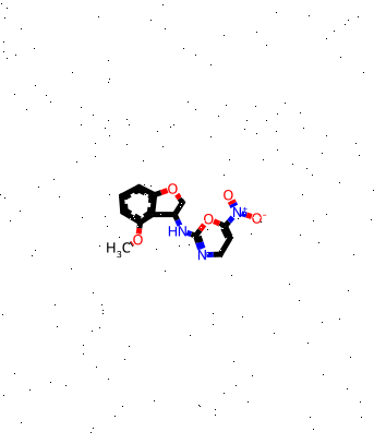 COc1cccc2c1C(NC1=NCC=C([N+](=O)[O-])O1)CO2